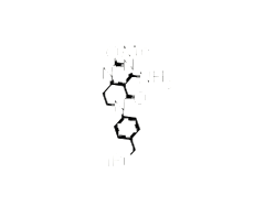 COc1nc(N)c2c(n1)CCN(c1ccc(CC(C)C)cc1)C2=O